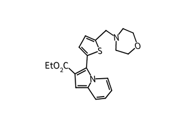 CCOC(=O)c1cc2ccccn2c1-c1ccc(CN2CCOCC2)s1